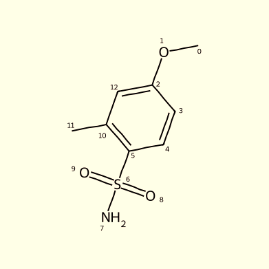 COc1ccc(S(N)(=O)=O)c(C)c1